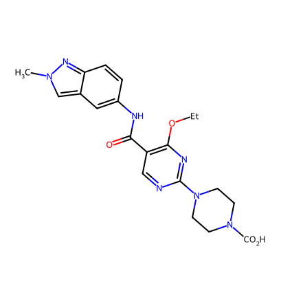 CCOc1nc(N2CCN(C(=O)O)CC2)ncc1C(=O)Nc1ccc2nn(C)cc2c1